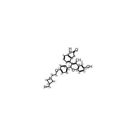 CC1=C(c2cccc3c2CC(=O)N3)C(c2ccc(OCCN3CC(CF)C3)cc2)Oc2ccc(O)cc21